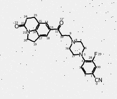 N#Cc1ccc(N2CCN(CCC(=O)c3cc4c5c(c3)CCN5C(=O)CC4)CC2)c(F)c1